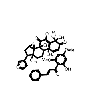 CC1(C)C(=O)C=CC2(C)C1=C(O)C(=O)C1(C)C2CCC2(C)C(c3ccoc3)CC3OC321.COc1cc(O)c(C(=O)C=Cc2ccccc2)c(OC)c1